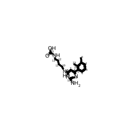 Cc1cccc(-c2cc(NCCCCNC(=O)O)nc(N)n2)c1C